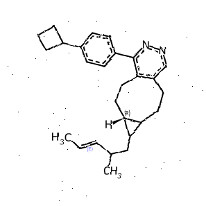 C/C=C/C(C)CC1C2CCc3cnnc(-c4ccc(C5CCC5)cc4)c3CC[C@H]21